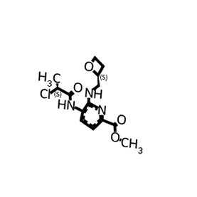 COC(=O)c1ccc(NC(=O)[C@H](C)Cl)c(NC[C@@H]2CCO2)n1